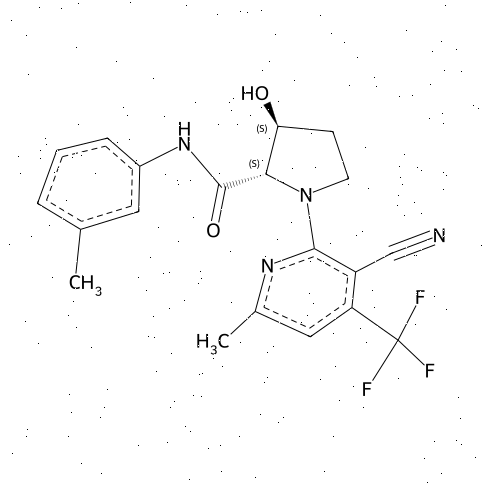 Cc1cccc(NC(=O)[C@@H]2[C@@H](O)CCN2c2nc(C)cc(C(F)(F)F)c2C#N)c1